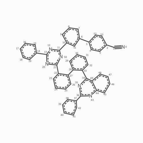 N#Cc1ccc(-c2cccc(-c3nc(-c4ccccc4)nc(-c4ccccc4-c4ccccc4-c4nc(-c5ccccc5)nc5ccccc45)n3)c2)cc1